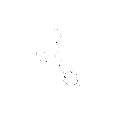 CCCC[Si](OC)(OC)OCc1ccccc1